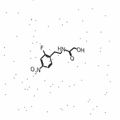 O=C(CO)NCCc1ccc([N+](=O)[O-])cc1F